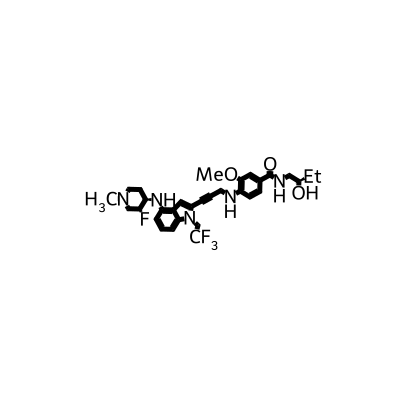 CC[C@@H](O)CNC(=O)c1ccc(NCC#Cc2cc3c(N[C@@H]4CCN(C)C[C@@H]4F)cccc3n2CC(F)(F)F)c(OC)c1